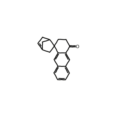 O=C1CCC2(CC3=CCC2C3)c2cc3ccccc3cc21